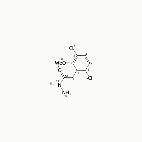 COc1c(Cl)ccc(Cl)c1CC(=O)N(C)N